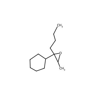 CCCCC1(C2CCCCC2)OC1C